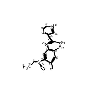 CCC/C(=N\c1cc([S+]([O-])CC(F)(F)F)c(C)cc1F)c1cnccn1